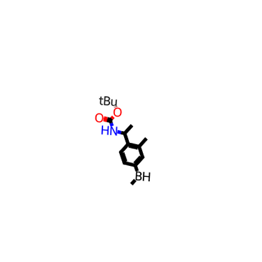 CBc1ccc(C(C)NC(=O)OC(C)(C)C)c(C)c1